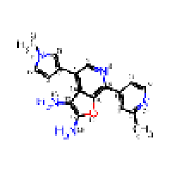 Cc1cc(-c2ncc(-c3ccn(C)c3)c3c(N)c(N)oc23)ccn1